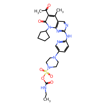 CCNC(=O)OS(=O)(=O)N1CCN(c2ccc(Nc3ncc4c(C)c(C(C)=O)c(=O)n(C5CCCC5)c4n3)nc2)CC1